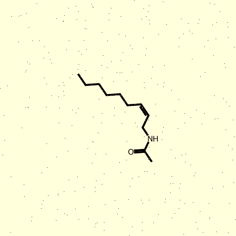 CCCCCC/C=C\CNC(C)=O